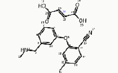 CNCc1cccc(Oc2cc(C)ccc2C#N)c1.O=C(O)/C=C/C(=O)O